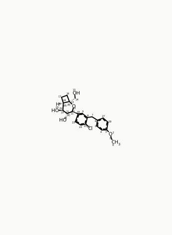 CCOc1ccc(Cc2cc([C@@H]3O[C@]4(CO)CC[C@@H]4[C@H](O)[C@H]3O)ccc2Cl)cc1